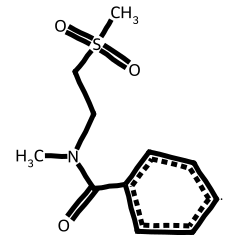 CN(CCS(C)(=O)=O)C(=O)c1cc[c]cc1